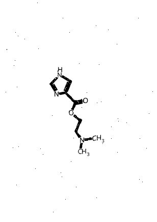 CN(C)CCOC(=O)c1c[nH]cn1